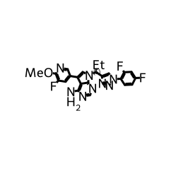 CC[C@@H](c1cn(-c2ccc(F)cc2F)nn1)n1cc(-c2cnc(OC)c(F)c2)c2c(N)ncnc21